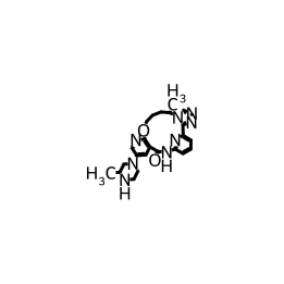 CC1CN(c2cnc3c(c2)C(=O)Nc2cccc(n2)-c2nncn2C(C)CCCO3)CCN1